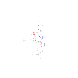 C=Cc1cccc(C#N)c1CC1C(=O)N(C)C(CC)(Cc2ccc(F)cc2)C(=O)N1C